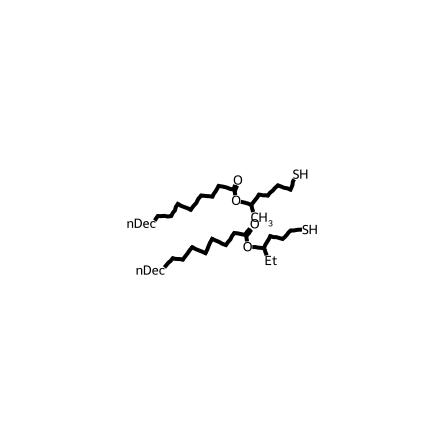 CCCCCCCCCCCCCCCCCC(=O)OC(C)CCCCS.CCCCCCCCCCCCCCCCCC(=O)OC(CC)CCCS